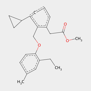 CCc1cc(C)ccc1OCc1c(CC(=O)OC)cccc1C1CC1